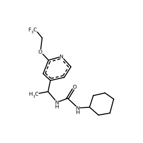 CC(NC(=O)NC1CCCCC1)c1ccnc(OCC(F)(F)F)c1